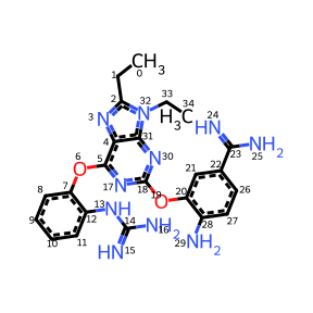 CCc1nc2c(Oc3ccccc3NC(=N)N)nc(Oc3cc(C(=N)N)ccc3N)nc2n1CC